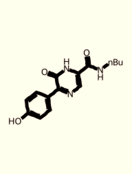 CCCCNC(=O)c1cnc(-c2ccc(O)cc2)c(=O)[nH]1